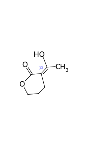 C/C(O)=C1\CCCOC1=O